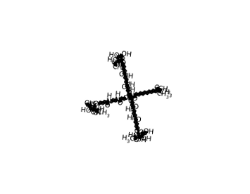 CC(=O)NC1C(O)[C@H](O)C(CO)O[C@H]1OCCCCC(=O)NCCCNC(=O)CCOCC(COCCC(=O)NCCCNC(=O)CCCCO[C@@H]1OC(CO)[C@@H](O)C(O)C1NC(C)=O)(COCCC(=O)NCCCNC(=O)CCCCO[C@@H]1OC(CO)[C@@H](O)C(O)C1NC(C)=O)NC(=O)CCCCCCCCCCC(=O)C(C)(C)C